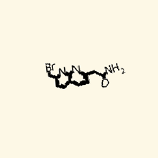 NC(=O)Cc1ccc2ccc(CBr)nc2n1